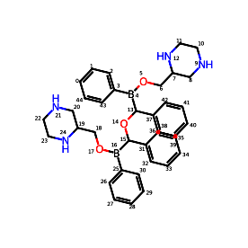 c1ccc(B(OCC2CNCCN2)C(OC(B(OCC2CNCCN2)c2ccccc2)c2ccccc2)c2ccccc2)cc1